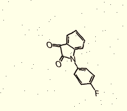 O=C1C(=O)N(c2ccc(F)cc2)c2ccccc21